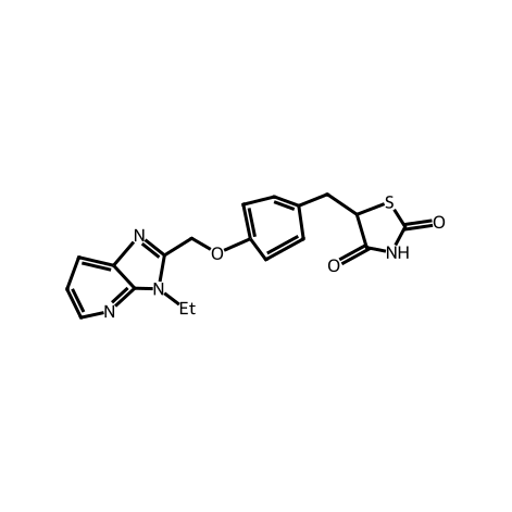 CCn1c(COc2ccc(CC3SC(=O)NC3=O)cc2)nc2cccnc21